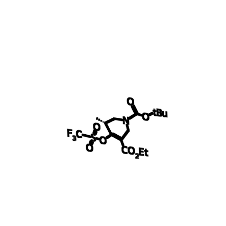 CCOC(=O)C1=C(OS(=O)(=O)C(F)(F)F)[C@H](C)CN(C(=O)OC(C)(C)C)C1